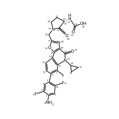 Cc1c(-c2cc(F)c(N)cc2F)ccc2c3oc(CN4CC[C@H](NC(=O)O)C4=O)nc3c(=O)n(C3CC3)c12